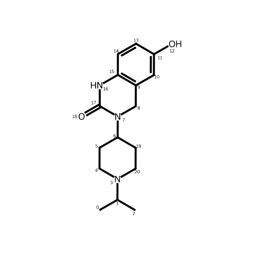 CC(C)N1CCC(N2Cc3cc(O)ccc3NC2=O)CC1